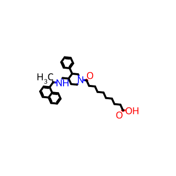 C[C@@H](NCC1CCN(C(=O)CCCCCCCCC(=O)O)CC1c1ccccc1)c1cccc2ccccc12